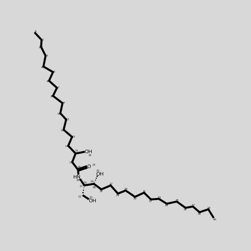 CCCCCCCCCCCCCCCC(O)CC(=O)N[C@@H](CO)[C@H](O)CCCCCCCCCCCCCCC